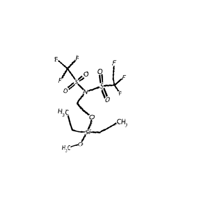 CC[Si](CC)(OC)OCN(S(=O)(=O)C(F)(F)F)S(=O)(=O)C(F)(F)F